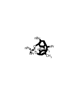 CCCCc1cc2c(C)cc1OP(N(CCC)CCC)Oc1cc(C)c(cc1CCCC)C2CCC